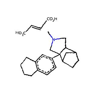 CN1CC2C3CCC(C3)C2(c2ccc3c(c2)CCCC3)C1.O=C(O)/C=C/C(=O)O